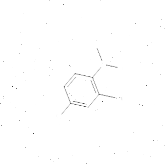 CC(C)c1cc(C(C)(C)C)ccc1[S+](C)[O-]